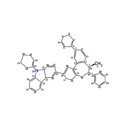 C[C@@H]1c2ccc(C3=CCCC=C3)cc2C2=C(CCC(C3=CC4c5ccccc5N(C5=CCCCC5)C4C=C3)=C2)CC1c1ccccc1